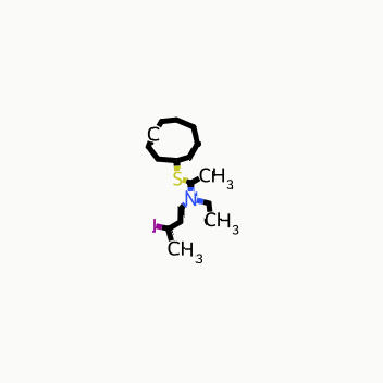 CCN(CCC(C)I)C(C)SC1CCCCCCCC1